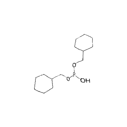 OP(OCC1CCCCC1)OCC1CCCCC1